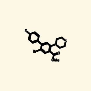 COC(=O)c1cc(Br)c(-c2ccc(F)cc2)cc1N1CCSCC1